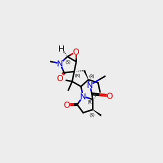 C[C@H]1CC(=O)N2C3C(C)(C)[C@@]4(C[C@]35CC[C@]12C(=O)N5C)C(=O)N(C)[C@H]1OC14